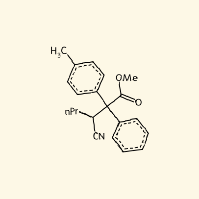 CCCC(C#N)C(C(=O)OC)(c1ccccc1)c1ccc(C)cc1